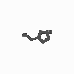 CC(=O)Cc1[c]c[nH]n1